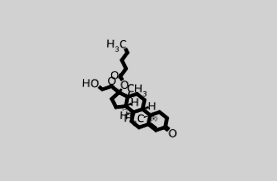 CCCCC(=O)O[C@]1(C(=O)CO)CC[C@H]2[C@@H]3CCC4=CC(=O)CC[C@]4(C)[C@H]3CC[C@@]21C